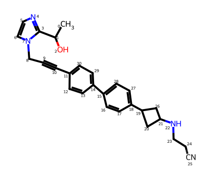 CC(O)c1nccn1CC#Cc1ccc(-c2ccc(C3CC(NCCC#N)C3)cc2)cc1